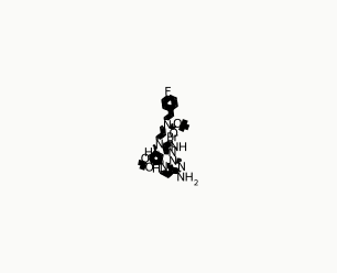 CC(C)(C)OC(=O)N(CCCN(C[C@H]1C[C@@H](n2ccc3c(N)ncnc32)[C@@H]2OC(C)(C)O[C@H]12)c1cn[nH]c1Br)CCc1ccc(F)cc1